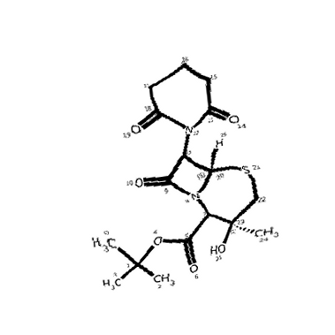 CC(C)(C)OC(=O)C1N2C(=O)C(N3C(=O)CCCC3=O)[C@@H]2SC[C@@]1(C)O